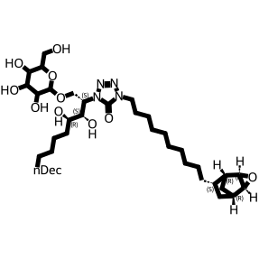 CCCCCCCCCCCCCC[C@@H](O)[C@@H](O)[C@H](COC1OC(CO)C(O)C(O)C1O)n1nnn(CCCCCCCCCC[C@H]2C[C@@H]3C[C@H]2[C@H]2O[C@@H]32)c1=O